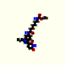 Cn1nc(C2CCC(=O)NC2=O)c2ccc(NC(=O)CCCCCCNC(=O)OC(C)(C)C)cc21